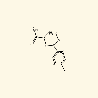 CCC(CC(N)C(=O)O)c1ccc(C)cc1